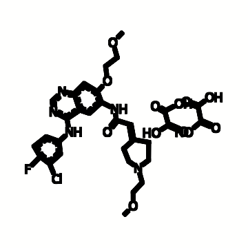 COCCOc1cc2ncnc(Nc3ccc(F)c(Cl)c3)c2cc1NC(=O)C=C1CCN(CCOC)CC1.O=C(O)C(=O)O.O=C(O)C(=O)O